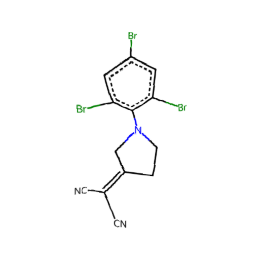 N#CC(C#N)=C1CCN(c2c(Br)cc(Br)cc2Br)C1